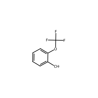 [CH]c1ccccc1OC(F)(F)F